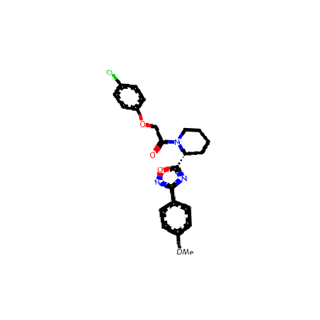 COc1ccc(-c2noc([C@H]3CCCCN3C(=O)COc3ccc(Cl)cc3)n2)cc1